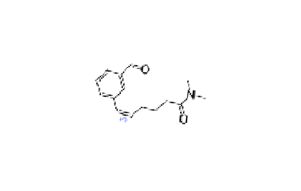 CN(C)C(=O)CCC/C=C\c1cccc(C=O)c1